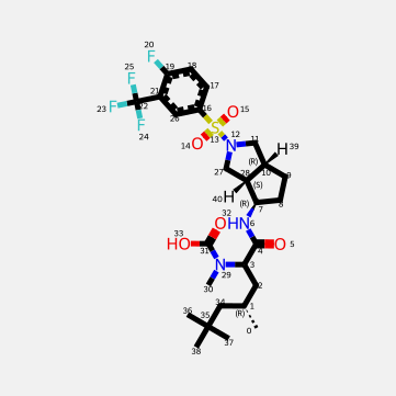 C[C@@H](CC(C(=O)N[C@@H]1CC[C@H]2CN(S(=O)(=O)c3ccc(F)c(C(F)(F)F)c3)C[C@H]21)N(C)C(=O)O)CC(C)(C)C